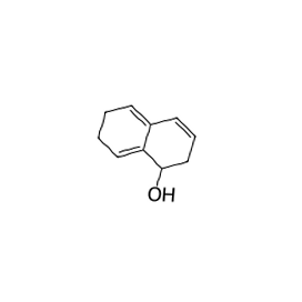 OC1CC=CC2=CCCC=C21